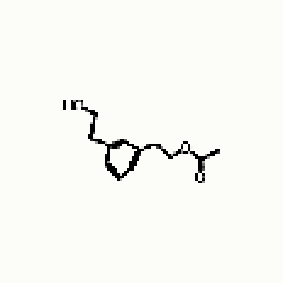 CC(=O)OCCc1cccc(CCO)c1